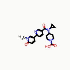 Cn1cc(-c2ccc(C(=O)N(C3CC3)C3CCN(C(=O)O)CC3)cn2)ccc1=O